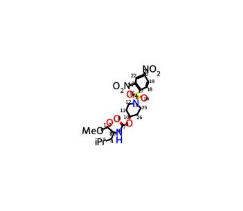 COC(=O)[C@H](CC(C)C)NC(=O)OC1CCN(S(=O)(=O)c2ccc([N+](=O)[O-])cc2[N+](=O)[O-])CC1